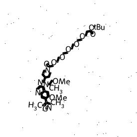 COC[C@@H](C)n1c(C2CCN(C(=O)COCCOCCOCCOCCOCCC(=O)OC(C)(C)C)CC2)nc2cnc3cc(-c4c(C)noc4C)c(OC)cc3c21